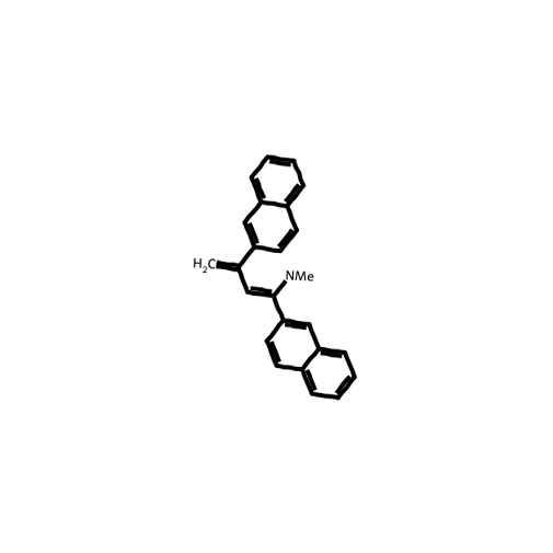 C=C(/C=C(\NC)c1ccc2ccccc2c1)c1ccc2ccccc2c1